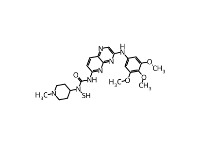 COc1cc(Nc2cnc3ccc(NC(=O)N(S)C4CCN(C)CC4)nc3n2)cc(OC)c1OC